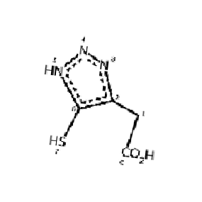 O=C(O)Cc1nn[nH]c1S